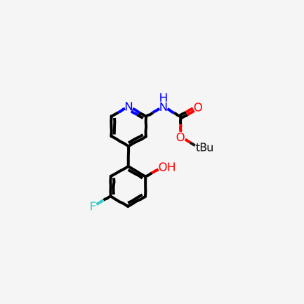 CC(C)(C)OC(=O)Nc1cc(-c2cc(F)ccc2O)ccn1